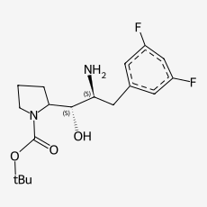 CC(C)(C)OC(=O)N1CCCC1[C@@H](O)[C@@H](N)Cc1cc(F)cc(F)c1